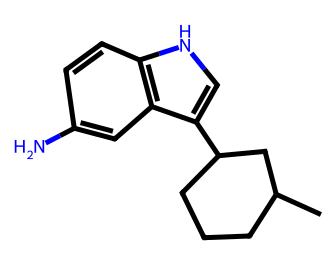 CC1CCCC(c2c[nH]c3ccc(N)cc23)C1